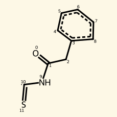 O=C(Cc1ccccc1)N[C]=S